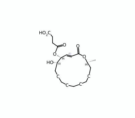 C[C@@H]1CCCCCCCCC[C@H](O)[C@H](OC(=O)CCC(=O)O)/C=C/C(=O)O1